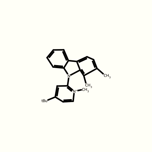 Cc1ccc2c3ccccc3n(-c3cc(C(C)(C)C)cc[n+]3C)c2c1C